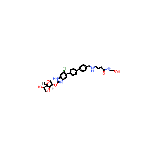 O=C(CCCNCc1ccc(-c2ccc(-c3cc4nc(O[C@@H]5CO[C@H]6[C@@H]5OC[C@H]6O)[nH]c4cc3Cl)cc2)cc1)NCCO